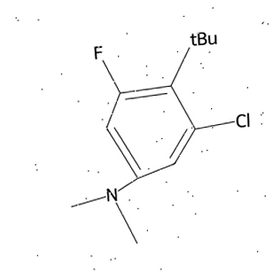 CN(C)c1cc(F)c(C(C)(C)C)c(Cl)c1